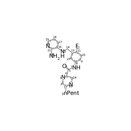 CCCCCc1cnc(C(=O)Nc2ccc(F)c(CNc3cccnc3N)c2)cn1